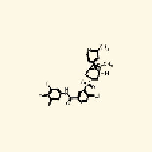 Cc1cc([C@@]2(O)C3C[C@@H](S(=O)(=O)c4cc(C(=O)Nc5cc(F)c(F)c(F)c5)ccc4Cl)C[C@@H]2[C@@H](C)C3)ccn1